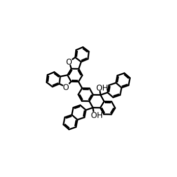 OC1(c2ccc3ccccc3c2)c2ccccc2C(O)(c2ccc3ccccc3c2)c2cc(-c3cc4c5ccccc5oc4c4c3oc3ccccc34)ccc21